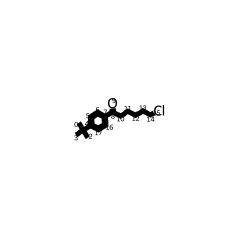 CC(C)(C)c1ccc(C(=O)CCCCCCl)cc1